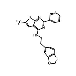 FC(F)(F)c1cc2c(NCCc3ccc4c(c3)OCO4)nc(-c3cccnc3)nc2s1